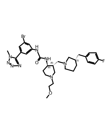 COCCN1CC[C@@H](NC(=O)Nc2cc(Br)cc(-c3nnnn3C)c2)[C@H](CN2CCC[C@@H](Cc3ccc(F)cc3)C2)C1